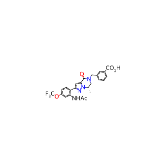 CC(=O)Nc1cc(OC(F)(F)F)ccc1-c1cc2n(n1)[C@@H](C)CN(Cc1cccc(C(=O)O)c1)C2=O